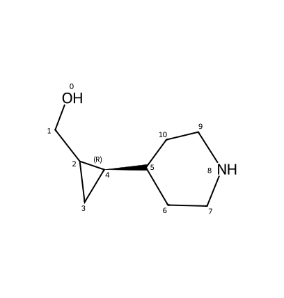 OCC1C[C@@H]1C1CCNCC1